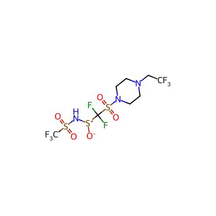 O=S(=O)(N[S+]([O-])C(F)(F)S(=O)(=O)N1CCN(CC(F)(F)F)CC1)C(F)(F)F